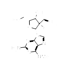 C=C[C@@]1(F)[C@H](O)[C@@H](CO)O[C@H]1n1cnc2c(NC)nc(N)nc21